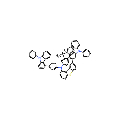 CC1(C)c2ccccc2-c2ccc(N(c3ccc(-c4cccc5c4c4ccccc4n5-c4ccccc4)cc3)c3cccc4sc5ccc(-c6ccc7c8ccccc8n(-c8ccccc8)c7c6)cc5c34)cc21